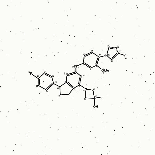 COc1cc(Nc2nc3c(c(N4CC(C)(O)C4)n2)CCC3c2ccc(F)cc2)ccc1-n1cnc(Cl)c1